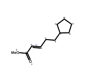 COC(=O)/C=C/CCC1CCCC1